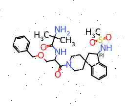 CC(C)(N)C(=O)NC(COCc1ccccc1)C(=O)N1CCC2(CC1)C[C@@H](NS(C)(=O)=O)c1ccccc12